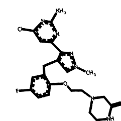 Cn1cc(Cc2cc(F)ccc2OCCN2CCNC(=O)C2)c(-c2cc(Cl)nc(N)n2)n1